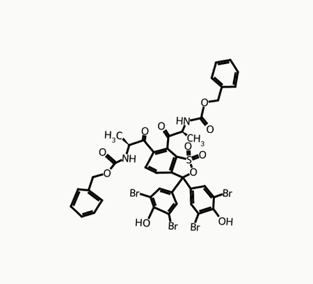 C[C@H](NC(=O)OCc1ccccc1)C(=O)c1ccc2c(c1C(=O)[C@H](C)NC(=O)OCc1ccccc1)S(=O)(=O)OC2(c1cc(Br)c(O)c(Br)c1)c1cc(Br)c(O)c(Br)c1